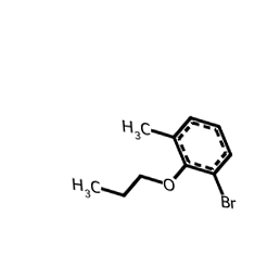 CCCOc1c(C)cccc1Br